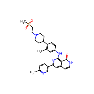 Cc1ccc(-c2cc3cc[nH]c(=O)c3c(Nc3ccc(C4CCN(CCS(C)(=O)=O)CC4)c(C)c3)n2)cn1